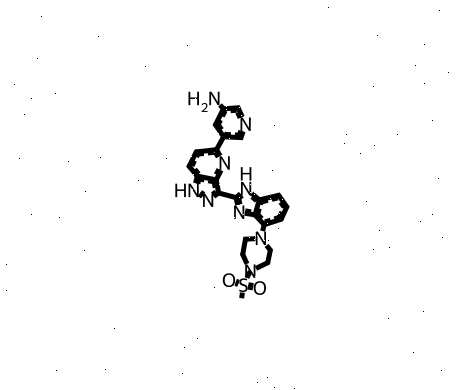 CS(=O)(=O)N1CCN(c2cccc3[nH]c(-c4n[nH]c5ccc(-c6cncc(N)c6)nc45)nc23)CC1